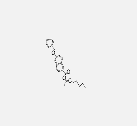 CCCCCC[C@H](C)OC(=O)c1ccc2cc(OCc3ccccc3)ccc2c1